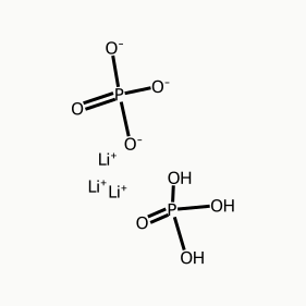 O=P(O)(O)O.O=P([O-])([O-])[O-].[Li+].[Li+].[Li+]